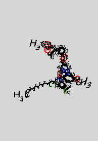 CCCCCCCCCCCCN(C(=O)c1ccc(OC)cc1N1CCC(COc2cccc(C(CC(=O)OC)C3CC3)c2)CC1)c1ccc(F)cc1Cl